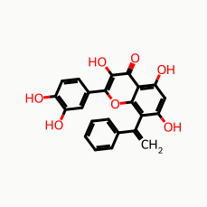 C=C(c1ccccc1)c1c(O)cc(O)c2c(=O)c(O)c(-c3ccc(O)c(O)c3)oc12